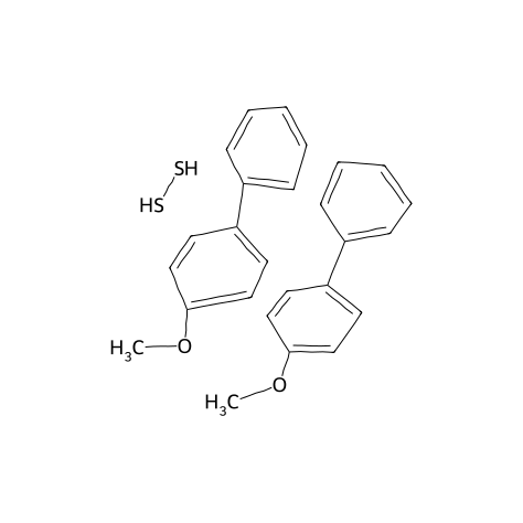 COc1ccc(-c2ccccc2)cc1.COc1ccc(-c2ccccc2)cc1.SS